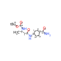 CC(CC(=O)Nc1ccc(C(N)=O)cc1)NC(=O)OC(C)(C)C